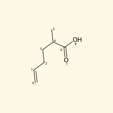 [CH]=CCCC(C)C(=O)O